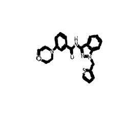 O=C(Nc1nn(Cc2cccs2)c2ccccc12)c1cccc(N2CCOCC2)c1